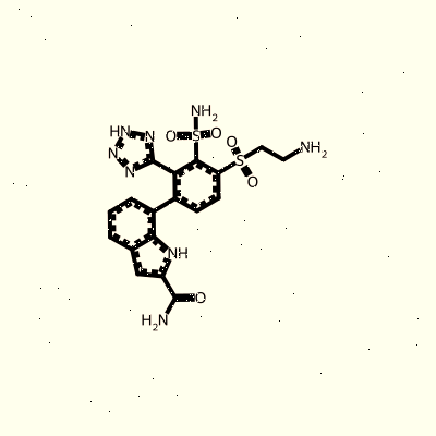 NCCS(=O)(=O)c1ccc(-c2cccc3cc(C(N)=O)[nH]c23)c(-c2nn[nH]n2)c1S(N)(=O)=O